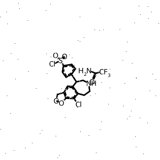 NC(=O)C(F)(F)F.O=S(=O)(Cl)c1ccc(C2CNCCc3c2cc2c(c3Cl)OOC2)cc1